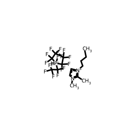 CCCC[n+]1ccn(C)c1C.FC(F)(F)C(F)(F)[PH-](F)(F)(C(F)(F)C(F)(F)F)C(F)(F)C(F)(F)F